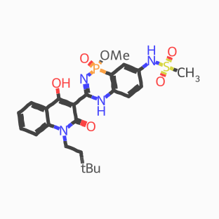 COP1(=O)N=C(c2c(O)c3ccccc3n(CCC(C)(C)C)c2=O)Nc2ccc(NS(C)(=O)=O)cc21